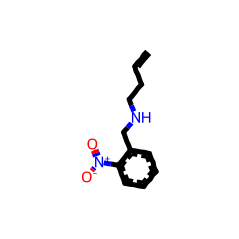 C=CCCNCc1ccccc1[N+](=O)[O-]